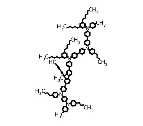 C#CC#CC#CC1(C)c2cc(-c3ccc(N(c4ccc(CCCC)cc4)c4ccc(N(c5ccc(C)cc5)c5ccc(CCCC)cc5)cc4)cc3)ccc2-c2ccc(-c3ccc(N(c4ccc(-c5ccc(N(c6ccc(CCCC)cc6)c6ccc(-c7ccc(N(c8ccc(C)cc8)c8cc(CCCCCC)cc(CCCCCC)c8)cc7)cc6)cc5)cc4)c4cc(CCCCCC)cc(CCCCCC)c4)cc3)cc21